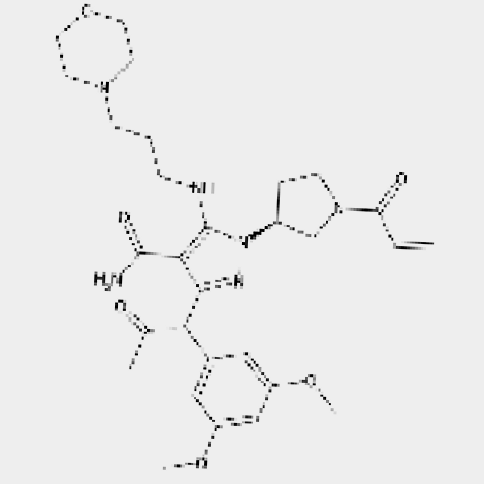 C=CC(=O)N1CC[C@H](n2nc([C@@H](C(C)=O)c3cc(OC)cc(OC)c3)c(C(N)=O)c2NCCCN2CCOCC2)C1